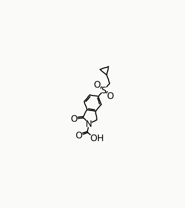 O=C(O)N1Cc2cc(S(=O)(=O)CC3CC3)ccc2C1=O